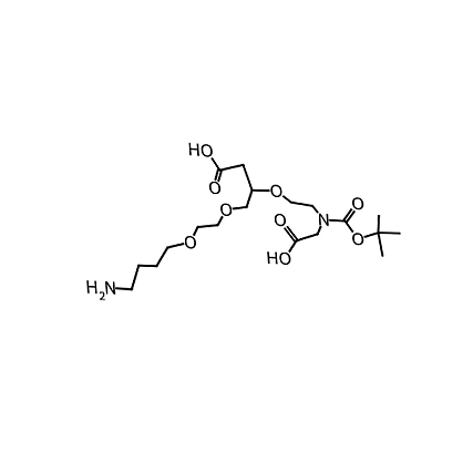 CC(C)(C)OC(=O)N(CCOC(COCCOCCCCN)CC(=O)O)CC(=O)O